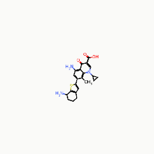 Cc1c(-c2cc3c(s2)C(N)CCC3)cc(N)c2c(=O)c(C(=O)O)cn(C3CC3)c12